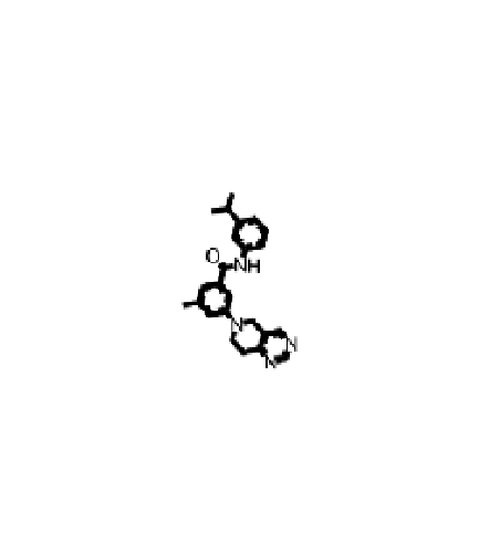 Cc1cc(C(=O)Nc2cccc(C(C)C)c2)cc(N2CCc3ncncc3C2)c1